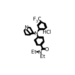 CCN(CC)C(=O)c1ccc(N(c2cccc(C(F)(F)F)c2)C2CN3CCC2CC3)cc1.Cl